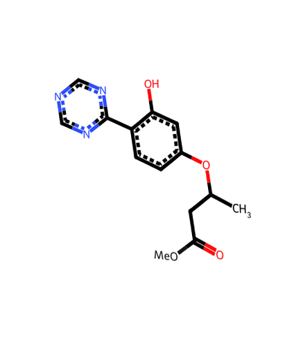 COC(=O)CC(C)Oc1ccc(-c2ncncn2)c(O)c1